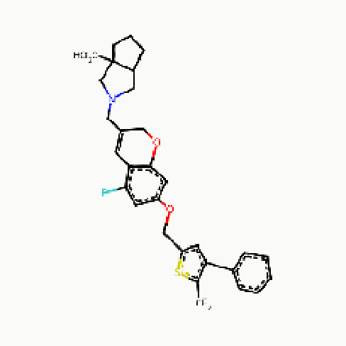 O=C(O)C12CCCC1CN(CC1=Cc3c(F)cc(OCc4cc(-c5ccccc5)c(C(F)(F)F)s4)cc3OC1)C2